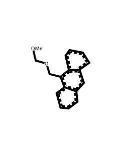 COCOCc1c2ccccc2cc2ccccc12